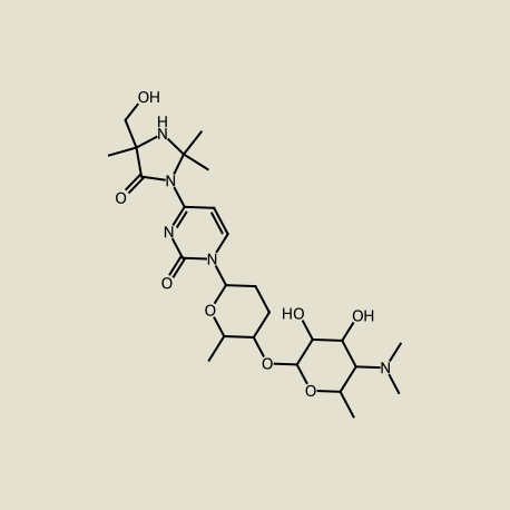 CC1OC(n2ccc(N3C(=O)C(C)(CO)NC3(C)C)nc2=O)CCC1OC1OC(C)C(N(C)C)C(O)C1O